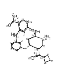 Cc1cccc(Nc2nc(N[C@@H]3CC[C@@H](C(=O)N4CCC4)C[C@H]3N)ncc2C(N)=O)c1